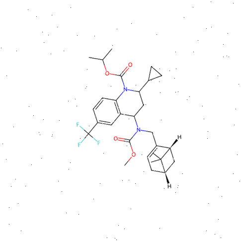 COC(=O)N(CC1=CC[C@H]2C[C@@H]1C2(C)C)C1CC(C2CC2)N(C(=O)OC(C)C)c2ccc(C(F)(F)F)cc21